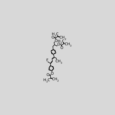 C=C(C)C(=O)OCC(COC(=O)C(=C)C)Cc1ccc(/C(=C/C=C(\CF)c2ccc(OC(=O)C(=C)C)cc2)CC)cc1